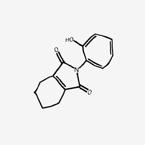 O=C1C2=C(CCCC2)C(=O)N1c1ccccc1O